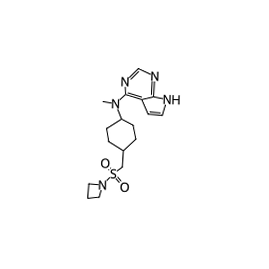 CN(c1ncnc2[nH]ccc12)C1CCC(CS(=O)(=O)N2CCC2)CC1